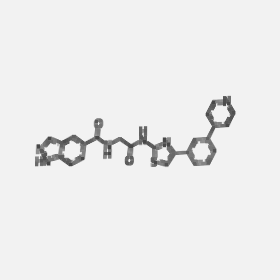 O=C(CNC(=O)c1ccc2[nH]ncc2c1)Nc1nc(-c2cccc(-c3ccncc3)c2)cs1